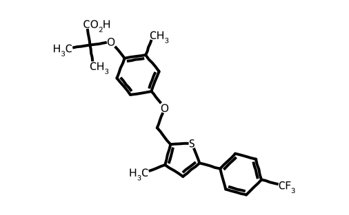 Cc1cc(OCc2sc(-c3ccc(C(F)(F)F)cc3)cc2C)ccc1OC(C)(C)C(=O)O